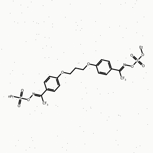 CCCS(=O)(=O)O/N=C(/c1ccc(OCCCOc2ccc(/C(=N/OS(=O)(=O)OCC)C(F)(F)F)cc2)cc1)C(F)(F)F